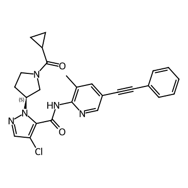 Cc1cc(C#Cc2ccccc2)cnc1NC(=O)c1c(Cl)cnn1[C@H]1CCN(C(=O)C2CC2)C1